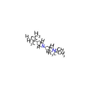 CC(C)(C)C1C[C@H]2CN(C3C[C@H]4CN(C(C)(C)C)C[C@@H]4C3)C[C@@H]2C1